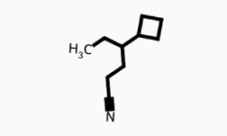 CCC(CCC#N)C1CCC1